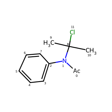 CC(=O)N(c1ccccc1)C(C)(C)Cl